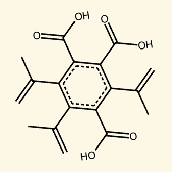 C=C(C)c1c(C(=C)C)c(C(=O)O)c(C(=O)O)c(C(=C)C)c1C(=O)O